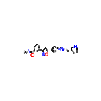 CC(C)NC(=O)c1cccc(-c2cc(-c3ccc(CNCCc4cccnc4)cc3)on2)c1